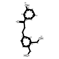 O=C(CCc1ccc(CO)c(CO)c1)c1cccc(O)c1